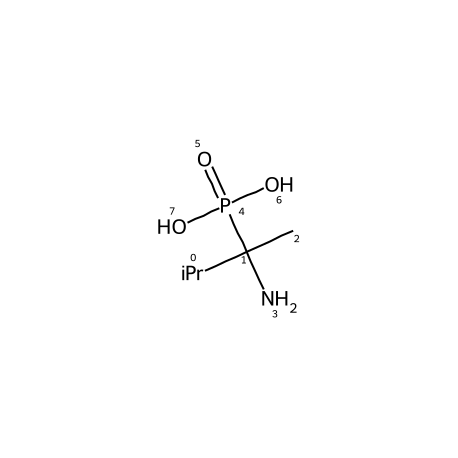 CC(C)C(C)(N)P(=O)(O)O